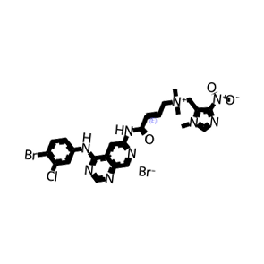 Cn1cnc([N+](=O)[O-])c1C[N+](C)(C)C/C=C/C(=O)Nc1cc2c(Nc3ccc(Br)c(Cl)c3)ncnc2cn1.[Br-]